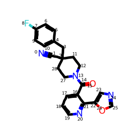 N#CC1(Cc2ccc(F)cc2)CCN(C(=O)c2cccnc2-c2cnco2)CC1